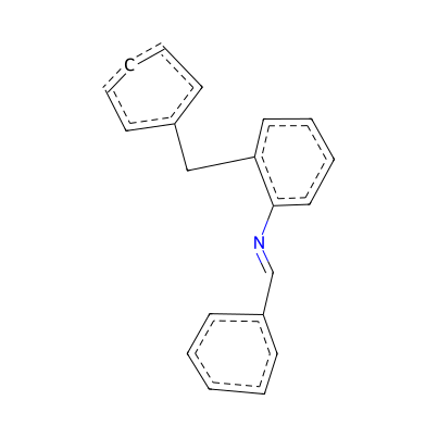 C(=Nc1ccccc1Cc1ccccc1)c1ccccc1